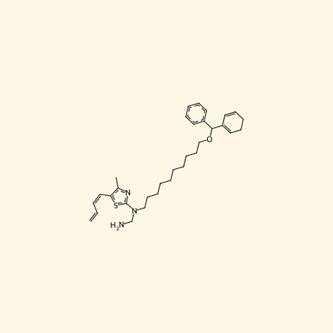 C=C/C=C\c1sc(N(CN)CCCCCCCCCCOC(C2=CCCC=C2)c2ccccc2)nc1C